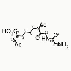 CC(=O)S[C@@H](CCCCN(C(C)=O)C(=O)CNC(=O)CN)C(=O)O